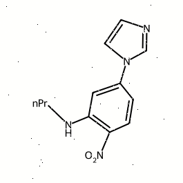 CCCNc1cc(-n2ccnc2)ccc1[N+](=O)[O-]